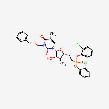 Cc1cn([C@@H]2O[C@H](CCP(=O)(Oc3ccccc3Cl)Oc3ccccc3Cl)[C@@H](C)[C@H]2O)c(=O)n(COCc2ccccc2)c1=O